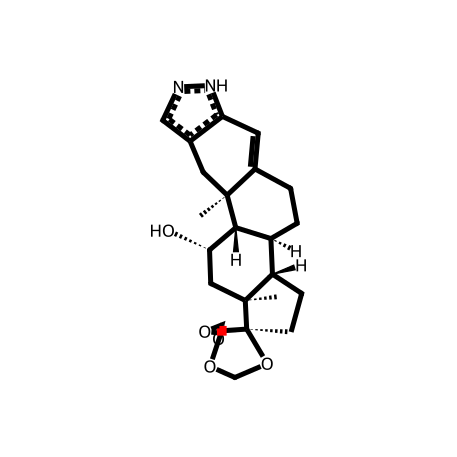 C[C@]12Cc3cn[nH]c3C=C1CC[C@@H]1[C@@H]2[C@@H](O)C[C@@]2(C)[C@H]1CC[C@@]21OCOC12COCO2